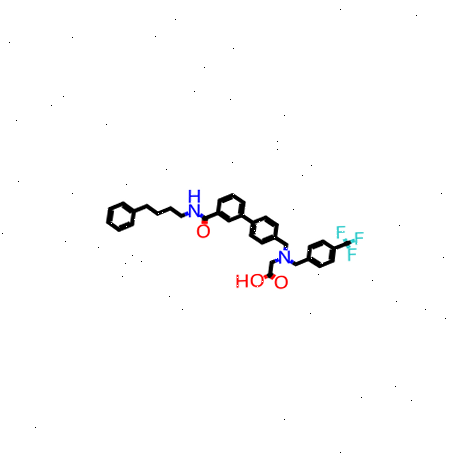 O=C(O)CN(Cc1ccc(-c2cccc(C(=O)NCCCCc3ccccc3)c2)cc1)Cc1ccc(C(F)(F)F)cc1